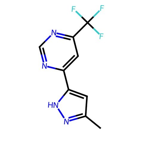 Cc1cc(-c2cc(C(F)(F)F)ncn2)[nH]n1